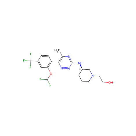 Cc1nc(N[C@@H]2CCCN(CCO)C2)nnc1-c1ccc(C(F)(F)F)cc1OC(F)F